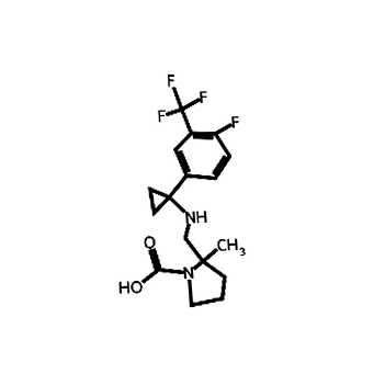 CC1(CNC2(c3ccc(F)c(C(F)(F)F)c3)CC2)CCCN1C(=O)O